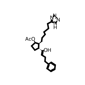 CC(=O)O[C@@H]1CC[C@@H](C(O)=CCCc2ccccc2)[C@@H]1CCCCCCc1nnn[nH]1